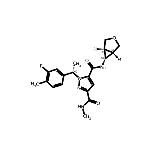 CNC(=O)c1cc(C(=O)N[C@H]2[C@@H]3COC[C@@H]32)n([C@@H](C)c2ccc(C)c(F)c2)n1